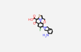 NC12C=CC(CC1)C1CN(c3c(F)cc4c(=O)c(C(=O)O)c5scc6n5c4c3OC6)CC12